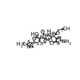 C#CCONC(C(=O)NC1C(=O)N2C(C(=O)O)=C(CSc3nnc(C)s3)CS[C@H]12)c1nc(N)sc1Cl